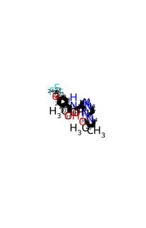 CC1(C)CCN(c2ccn3ncc(C(=O)N[C@@H](c4ccc(OC(F)(F)F)cc4)C(C)(C)O)c3n2)C1=O